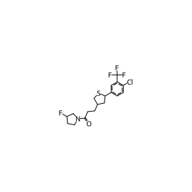 O=C(CCC1CSC(c2ccc(Cl)c(C(F)(F)F)c2)C1)N1CCC(F)C1